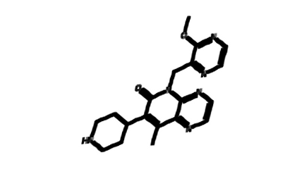 COc1nccnc1Cn1c(=O)c(C2CCNCC2)c(C)c2nccnc21